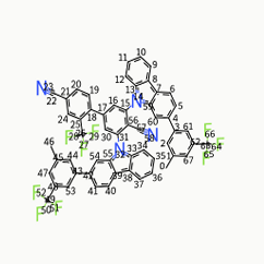 Cc1cc(-c2ccc3c4ccccc4n(-c4cc(-c5ccc(C#N)cc5C(F)(F)F)cc(-n5c6ccccc6c6ccc(-c7cc(C)cc(C(F)(F)F)c7)cc65)c4C#N)c3c2)cc(C(F)(F)F)c1